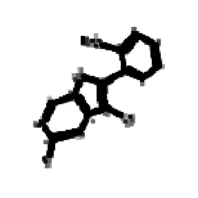 COc1ccccc1-c1[nH]c2cnc(Cl)cc2c1C#N